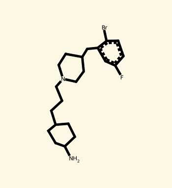 NC1CCC(CCCN2CCC(Cc3cc(F)ccc3Br)CC2)CC1